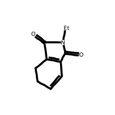 CCN1C(=O)C2=C(CCC=C2)C1=O